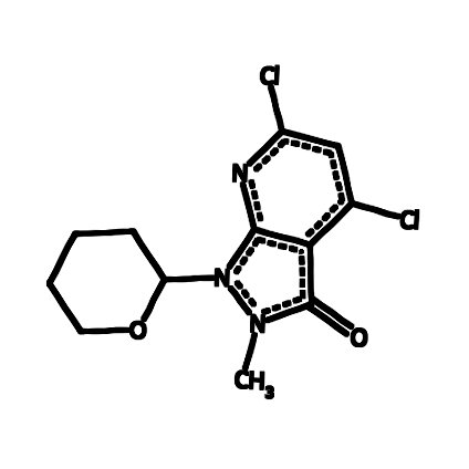 Cn1c(=O)c2c(Cl)cc(Cl)nc2n1C1CCCCO1